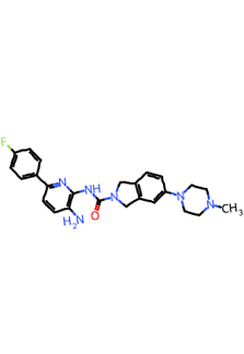 CN1CCN(c2ccc3c(c2)CN(C(=O)Nc2nc(-c4ccc(F)cc4)ccc2N)C3)CC1